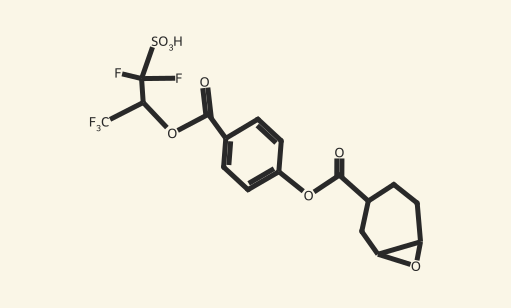 O=C(OC(C(F)(F)F)C(F)(F)S(=O)(=O)O)c1ccc(OC(=O)C2CCC3OC3C2)cc1